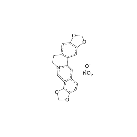 O=[N+]([O-])[O-].c1c2c(cc3c1OCO3)-c1cc3ccc4c(c3c[n+]1CC2)OCO4